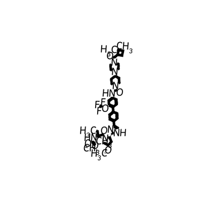 CC[C@](C)(NC(=O)OC)C(=O)N1C[C@@H](OC)C[C@H]1c1nc(-c2ccc(-c3ccc(NC(=O)N4CCC(N5CCN(C(=O)C6CCC6(C)C)CC5)CC4)cc3OC(F)(F)F)cc2)c[nH]1